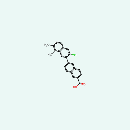 Cc1ccc2cc(Cl)c(-c3ccc4cc(C(=O)O)ccc4c3)cc2c1C